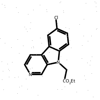 CCOC(=O)Cn1c2ccc(Cl)cc2c2ccncc21